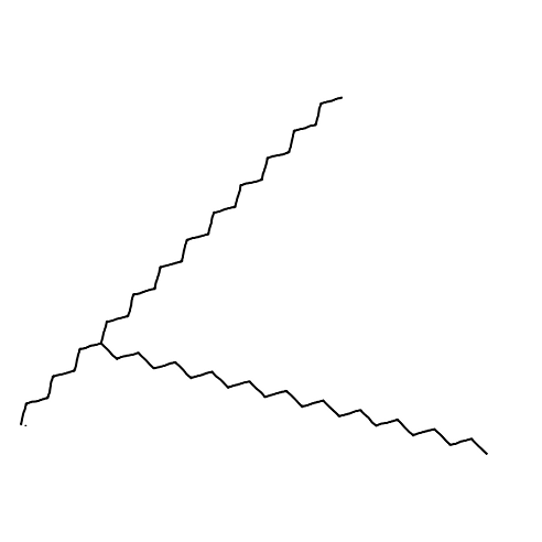 [CH2]CCCCCC(CCCCCCCCCCCCCCCCCC)CCCCCCCCCCCCCCCCCCCCC